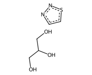 OCC(O)CO.c1csnn1